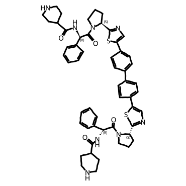 O=C(N[C@@H](C(=O)N1CCC[C@H]1c1ncc(-c2ccc(-c3ccc(-c4cnc([C@@H]5CCCN5C(=O)[C@H](NC(=O)C5CCNCC5)c5ccccc5)s4)cc3)cc2)s1)c1ccccc1)C1CCNCC1